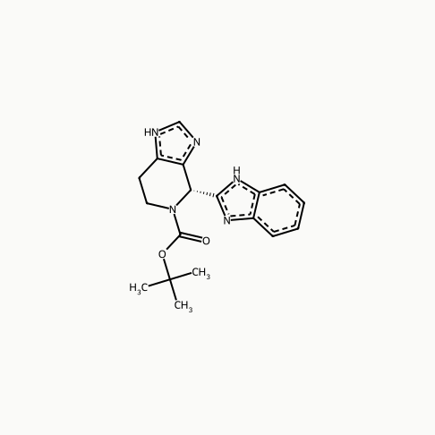 CC(C)(C)OC(=O)N1CCc2[nH]cnc2[C@@H]1c1nc2ccccc2[nH]1